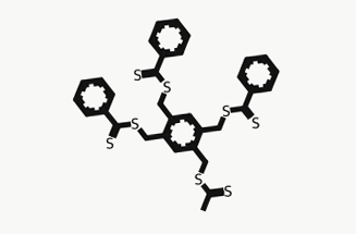 CC(=S)SCc1cc(CSC(=S)c2ccccc2)c(CSC(=S)c2ccccc2)cc1CSC(=S)c1ccccc1